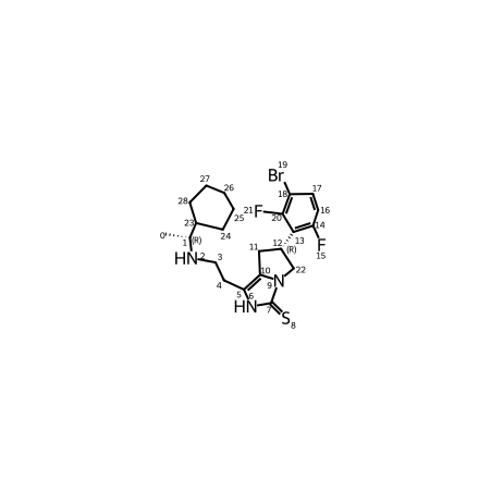 C[C@@H](NCCc1[nH]c(=S)n2c1C[C@H](c1c(F)ccc(Br)c1F)C2)C1CCCCC1